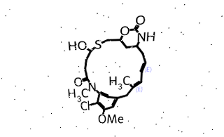 COc1cc2cc(c1Cl)N(C)C(=O)CCC(O)SCC1CC(C/C=C/C=C(\C)C2)NC(=O)O1